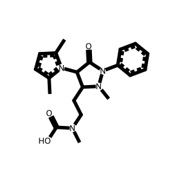 Cc1ccc(C)n1C1C(=O)N(c2ccccc2)N(C)C1CCN(C)C(=O)O